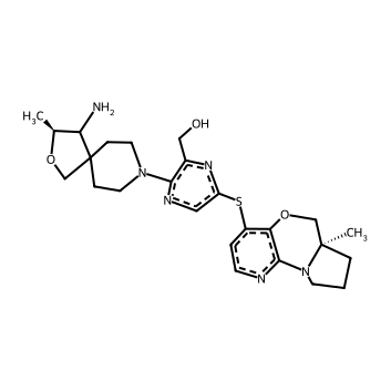 C[C@@H]1OCC2(CCN(c3ncc(Sc4ccnc5c4OC[C@@]4(C)CCCN54)nc3CO)CC2)C1N